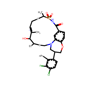 CCCc1c(C2COc3ccc4cc3N(CCC(CC)C(O)/C(C)=C/CCC(C)S(=O)(=O)NC4=O)C2)ccc(Cl)c1F